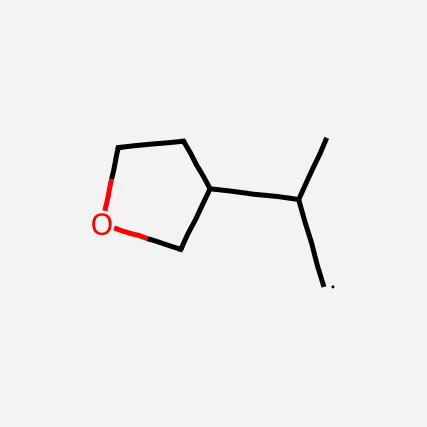 [CH2]C(C)C1CCOC1